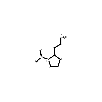 CN(C)N1CCCC1CCC(=O)O